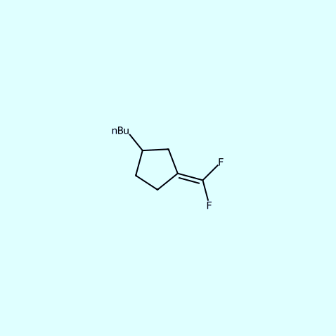 CCCCC1CCC(=C(F)F)C1